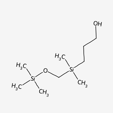 C[Si](C)(CCCO)CO[Si](C)(C)C